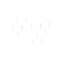 CCC1=CCN(CC)C(C(CCN2c3ccccc3Oc3ccccc32)S(=O)(=O)O)=N1